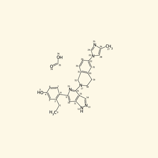 CCc1cc(O)ccc1-c1cc2[nH]ncc2c(N2CCc3cc(-n4cnc(C)c4)ccc3C2)n1.O=CO